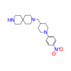 O=[N+]([O-])c1ccc(N2CCC(CN3CCC4(CCNCC4)CC3)CC2)cc1